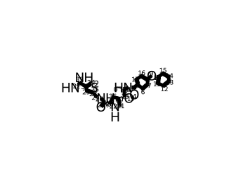 C[C@H](NC(=O)c1ccc(Oc2ccccc2)cc1)C(=O)[C@@H]1CN[C@H](C(=O)NCc2cc(C(=N)N)cs2)C1